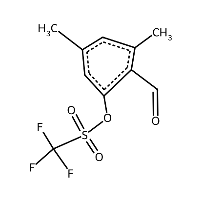 Cc1cc(C)c(C=O)c(OS(=O)(=O)C(F)(F)F)c1